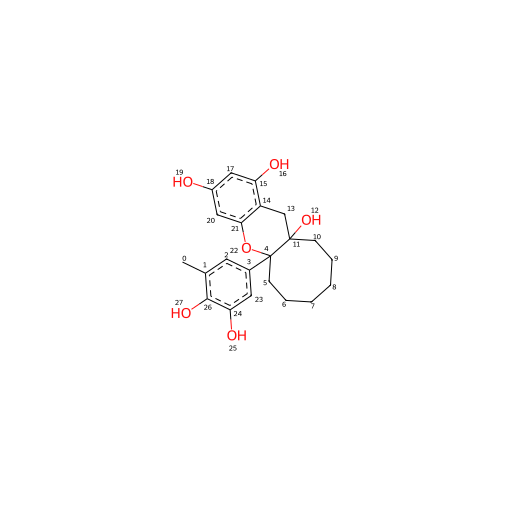 Cc1cc(C23CCCCCCC2(O)Cc2c(O)cc(O)cc2O3)cc(O)c1O